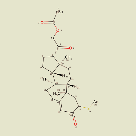 CCCCC(=O)OCC(=O)[C@H]1CC[C@H]2[C@@H]3CCC4=CC(=O)C(SC(C)=O)C[C@]4(C)[C@H]3CC[C@]12C